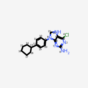 Nc1nc(Cl)c2c(n1)N(c1ccc(C3CCCCC3)cc1)CN2